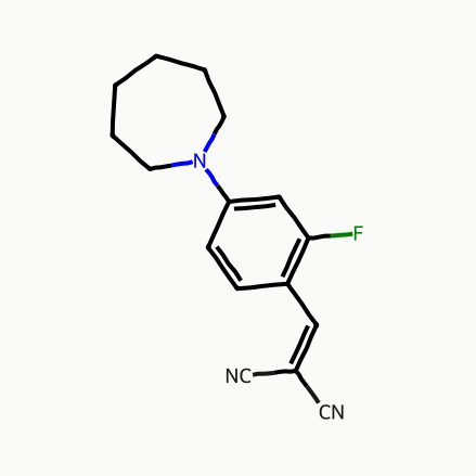 N#CC(C#N)=Cc1ccc(N2CCCCCC2)cc1F